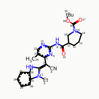 CCN1C(=C(C#N)c2nc(NC(=O)C3CCCN(C(=O)OC(C)(C)C)C3)ncc2C)Nc2ccccc21